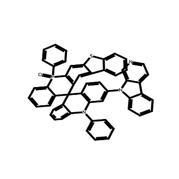 O=P1(c2ccccc2)c2ccccc2C2(c3ccccc3N(c3ccccc3)c3cc(-n4c5ccccc5c5ccncc54)ccc32)c2cc3c(cc21)sc1ccccc13